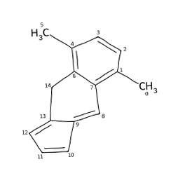 Cc1ccc(C)c2c1C=C1C=CC=C1C2